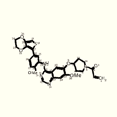 C=CC(=O)N1CCC(Oc2cc3c(Nc4cc(-c5scc6c5OCCO6)ccc4OC)ncnc3cc2OC)CC1